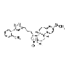 COc1ccc2c(c1)CC[C@H]1[C@@H]3[C@H](CCCn4cc(-c5ccccc5C)nn4)CC(=O)[C@@]3(C)CC[C@H]21